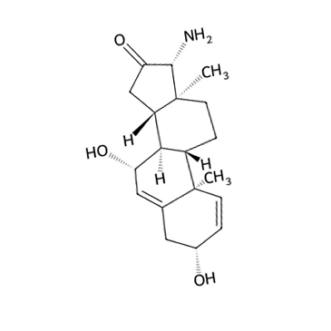 C[C@]12CC[C@H]3[C@@H]([C@@H](O)C=C4C[C@@H](O)C=C[C@@]43C)[C@@H]1CC(=O)[C@@H]2N